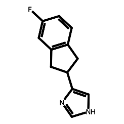 Fc1ccc2c(c1)CC(c1c[nH]cn1)C2